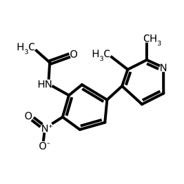 CC(=O)Nc1cc(-c2ccnc(C)c2C)ccc1[N+](=O)[O-]